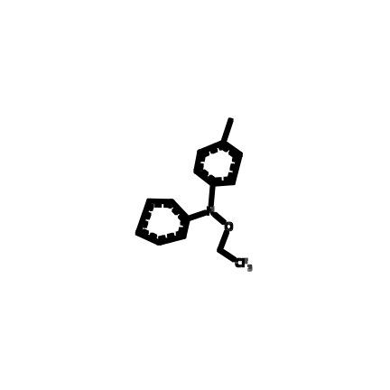 Cc1ccc(N(OCC(F)(F)F)c2ccccc2)cc1